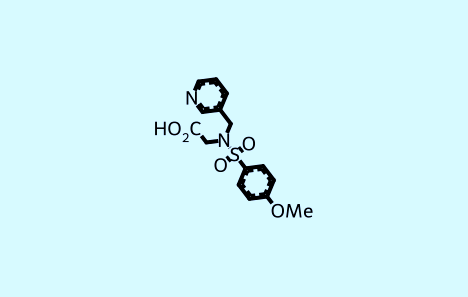 COc1ccc(S(=O)(=O)N(CC(=O)O)Cc2cccnc2)cc1